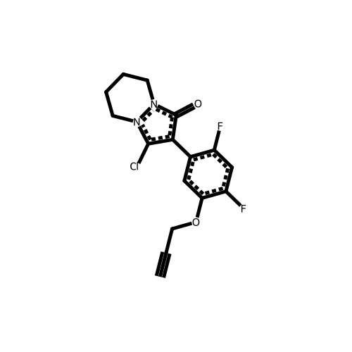 C#CCOc1cc(-c2c(Cl)n3n(c2=O)CCCC3)c(F)cc1F